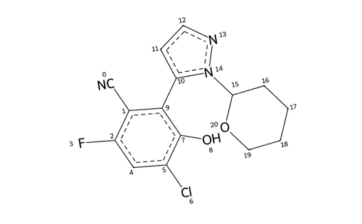 N#Cc1c(F)cc(Cl)c(O)c1-c1ccnn1C1CCCCO1